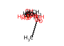 CCCCCCCCCCCCCCCCO[C@@H](CC=O)[C@H](O)COCCC[C@@H](C)[C@H]1CC[C@H]2[C@@H]3[C@H](O)C[C@@H]4C[C@H](O)CC(P(=O)(O)O)[C@]4(C)[C@H]3C[C@H](O)[C@]12C